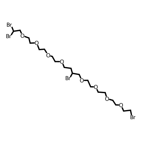 BrCCOCCOCCOCCOCC(Br)CCOCCOCCOCCOCC(Br)Br